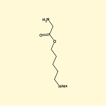 CCCCCCCCCCCOC(=O)CN